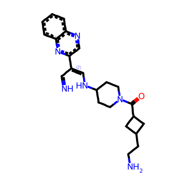 N=C/C(=C\NC1CCN(C(=O)C2CC(CCN)C2)CC1)c1cnc2ccccc2n1